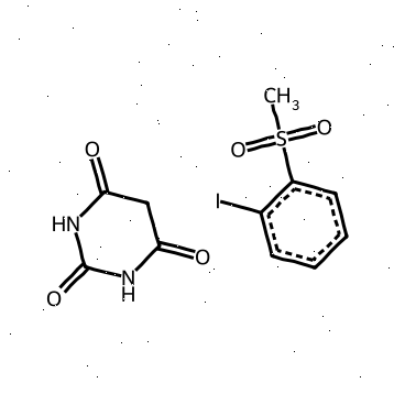 CS(=O)(=O)c1ccccc1I.O=C1CC(=O)NC(=O)N1